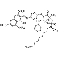 CCCCCCCCCCCCCCCCCCN(C)S(=O)(=O)CC(C)(C)C(=O)C(Oc1ccc(N=Nc2c(S(=O)(=O)O)cc3cc(S(=O)(=O)O)cc(NC(C)=O)c3c2O)cc1)C(=O)Nc1ccccc1